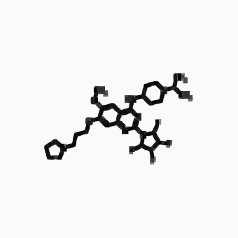 COc1cc2c(NC3CCN(C(C)C)CC3)nc(N3C(F)C(F)C(F)C3F)nc2cc1OCCCN1CCCC1